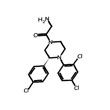 NCC(=O)N1CCN(c2ccc(Cl)cc2Cl)[C@H](c2ccc(Cl)cc2)C1